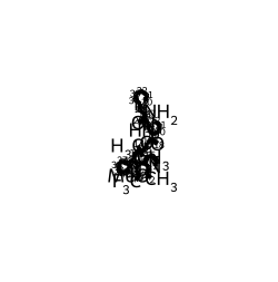 CO[C@@H](C)c1ncccc1-c1c(CC(C)(C)COC(=O)[C@@H]2CCCN(C(=O)[C@@H](N)CN3CCCCC3)N2)c2ccccc2n1CC(F)(F)F